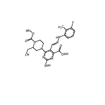 COC(=O)c1nc(SC)nc(N2CCN(C(=O)OC(C)(C)C)C(CC#N)C2)c1/C=N/Nc1cccc(F)c1C